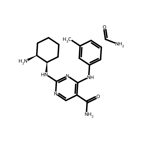 Cc1cccc(Nc2nc(N[C@@H]3CCCC[C@@H]3N)ncc2C(N)=O)c1.NC=O